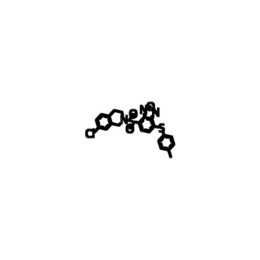 Cc1ccc(Sc2ccc(S(=O)(=O)N3CCc4ccc(Cl)cc4C3)c3nonc23)cc1